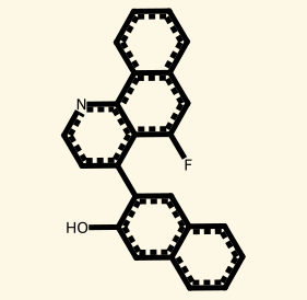 Oc1cc2ccccc2cc1-c1ccnc2c1c(F)cc1ccccc12